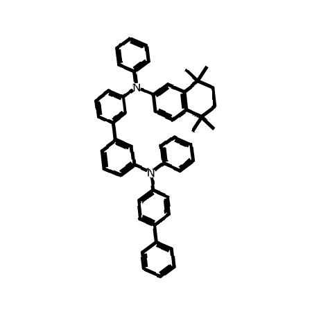 CC1(C)CCC(C)(C)c2cc(N(c3ccccc3)c3cccc(-c4cccc(N(c5ccccc5)c5ccc(-c6ccccc6)cc5)c4)c3)ccc21